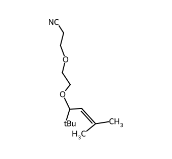 CC(C)=CC(OCCOCCC#N)C(C)(C)C